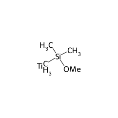 CO[Si](C)(C)C.[Ti]